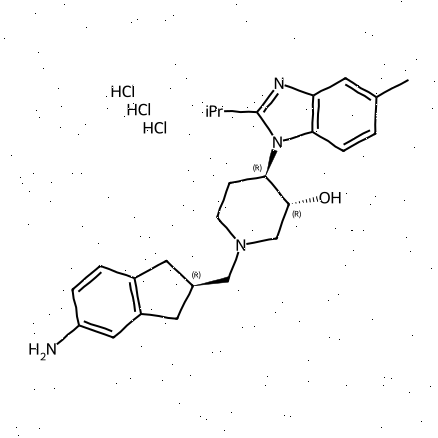 Cc1ccc2c(c1)nc(C(C)C)n2[C@@H]1CCN(C[C@@H]2Cc3ccc(N)cc3C2)C[C@H]1O.Cl.Cl.Cl